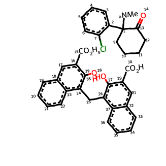 CNC1(c2ccccc2Cl)CCCCC1=O.O=C(O)c1cc2ccccc2c(Cc2c(O)c(C(=O)O)cc3ccccc23)c1O